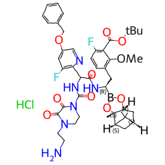 COc1c(C[C@H](NC(=O)C(NC(=O)N2CCN(CCN)C(=O)C2=O)c2ncc(OCc3ccccc3)cc2F)B2O[C@@H]3C[C@@H]4C[C@@H](C4(C)C)[C@]3(C)O2)ccc(F)c1C(=O)OC(C)(C)C.Cl